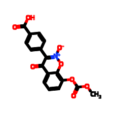 COC(=O)Oc1cccc2c(=O)c(-c3ccc(C(=O)O)cc3)[n+]([O-])oc12